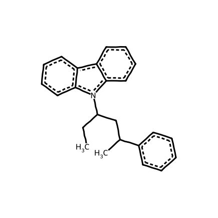 CCC(CC(C)c1ccccc1)n1c2ccccc2c2ccccc21